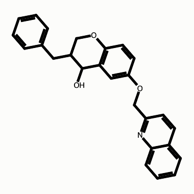 OC1c2cc(OCc3ccc4ccccc4n3)ccc2OCC1Cc1ccccc1